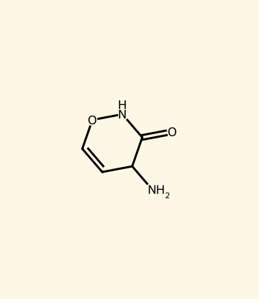 NC1C=CONC1=O